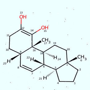 C[C@@]12CCC[C@H]1[C@@H]1C=C[C@@H]3CCC(O)=C(O)[C@]3(C)[C@H]1CC2